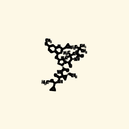 C=C[C@@H]1C[C@]1(NC(=O)[C@@H]1C[C@@H](Oc2cc(C3CC3)nc3cc(OC)ccc23)CN1C(=O)[C@@H](NC(=O)OC(C)(C)C)C(C)(C)C)C(=O)NC(OC)C1CC1